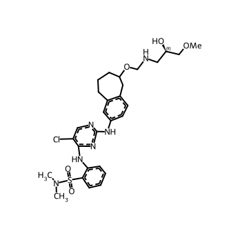 COC[C@H](O)CNCOC1CCCc2cc(Nc3ncc(Cl)c(Nc4ccccc4S(=O)(=O)N(C)C)n3)ccc2C1